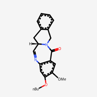 CCCCOc1cc2c(cc1OC)C(=O)N1Cc3ccccc3C[C@H]1C=N2